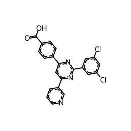 O=C(O)c1ccc(-c2cc(-c3cccnc3)nc(-c3cc(Cl)cc(Cl)c3)n2)cc1